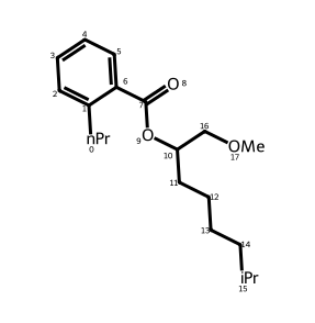 CCCc1ccccc1C(=O)OC(CCCCC(C)C)COC